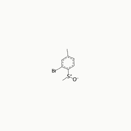 Cc1ccc([S+](C)[O-])c(Br)c1